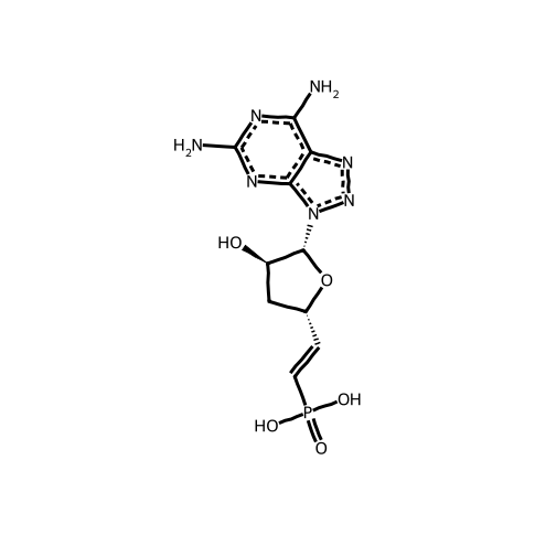 Nc1nc(N)c2nnn([C@@H]3O[C@H](/C=C/P(=O)(O)O)C[C@H]3O)c2n1